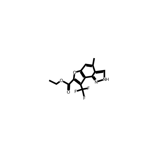 CCOC(=O)c1oc2cc(C)c3c[nH]nc3c2c1C(F)(F)F